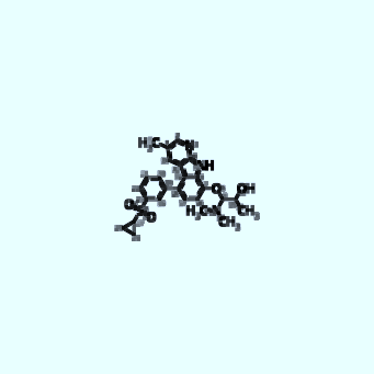 Cc1cnc2[nH]c3c(OC(C(C)O)N(C)C)ccc(-c4cccc(S(=O)(=O)C5CC5)c4)c3c2c1